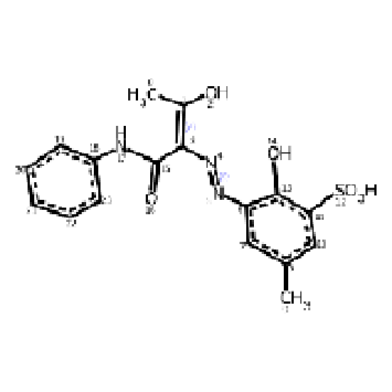 C/C(O)=C(/N=N/c1cc(C)cc(S(=O)(=O)O)c1O)C(=O)Nc1ccccc1